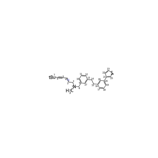 CN(C/C=C/C#CC(C)(C)C)Cc1cccc(CCc2cccc(-c3ccsc3)c2)c1